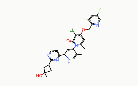 CC1=CNC(c2ccnc(C3CC(C)(O)C3)n2)C=C1n1c(C)cc(OCc2ncc(F)cc2F)c(Cl)c1=O